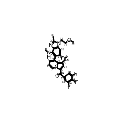 CNc1c(-c2cccn3c(C(=O)c4cc(F)c(F)c(F)c4)cc(I)c23)c(OC)cc2c1nc(C)n2CCOC